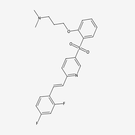 CN(C)CCCOc1ccccc1S(=O)(=O)c1ccc(C=Cc2ccc(F)cc2F)nc1